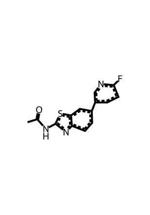 CC(=O)Nc1nc2ccc(-c3ccc(F)nc3)cc2s1